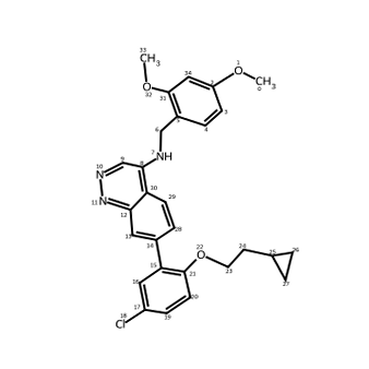 COc1ccc(CNc2cnnc3cc(-c4cc(Cl)ccc4OCCC4CC4)ccc23)c(OC)c1